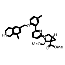 COC[C@H]1N(c2cccc(-c3cc(C)ccc3OCc3cc(C)c4c(c3)CCNC4)n2)C[C@@H]2C[C@@]21C(=O)OC